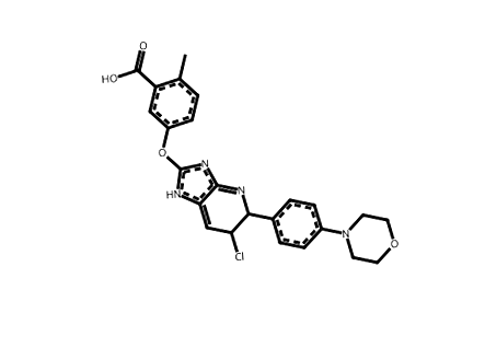 Cc1ccc(Oc2nc3c([nH]2)=CC(Cl)C(c2ccc(N4CCOCC4)cc2)N=3)cc1C(=O)O